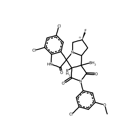 BC12C(=O)N(c3cc(Cl)cc(OC)c3)C(=O)C1(B)C1(C(=O)Nc3c(Cl)cc(Cl)cc31)N1C[C@@H](F)CC12